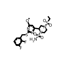 CCS(=O)(=O)N1CCN(S(N)(=O)=O)C(c2cc(OC)nc(SCc3cccc(F)c3F)n2)C1